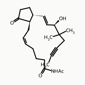 CC#CCC(C)(C)[C@H](O)/C=C/[C@H]1CCC(=O)[C@@H]1C/C=C\CCCC(=O)NC(C)=O